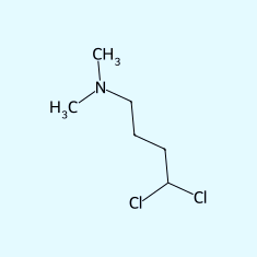 CN(C)CCCC(Cl)Cl